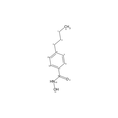 CCCCc1ccc(C(=O)NO)cc1